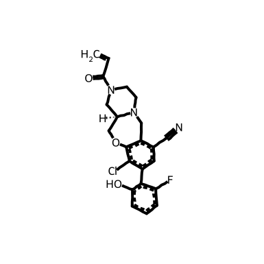 C=CC(=O)N1CCN2Cc3c(C#N)cc(-c4c(O)cccc4F)c(Cl)c3OC[C@H]2C1